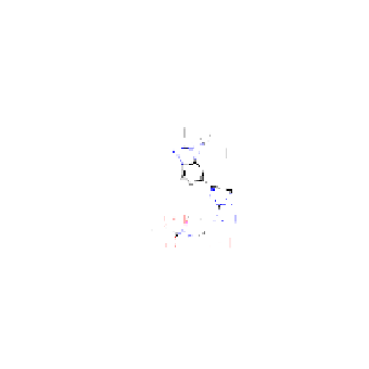 CC(O)C(=O)N1CC[C@@H](Nc2ncc(Cl)c(-c3cc(F)c4ncn(C(C)(C)C)c4c3)n2)[C@H](O)C1